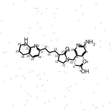 Nc1ccc([C@H](CC(=O)O)N2CCC(CCCc3ccc4c(n3)NCCC4)C2=O)cn1